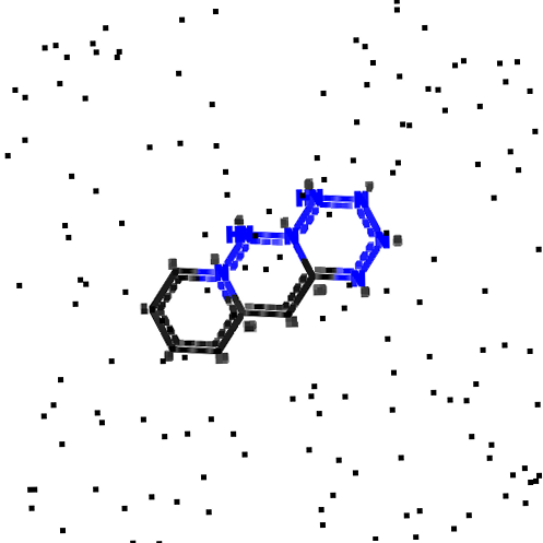 c1ccn2[nH]n3[nH]nnnc-3cc2c1